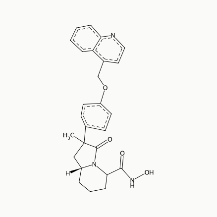 CC1(c2ccc(OCc3ccnc4ccccc34)cc2)C[C@H]2CCCC(C(=O)NO)N2C1=O